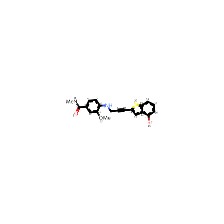 CNC(=O)c1ccc(NCC#Cc2cc3c(Br)cccc3s2)c(OC)c1